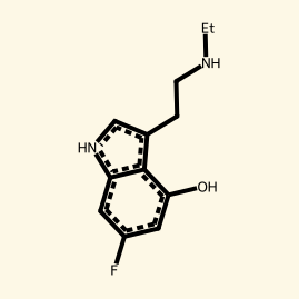 CCNCCc1c[nH]c2cc(F)cc(O)c12